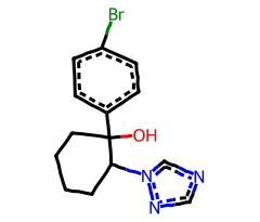 OC1(c2ccc(Br)cc2)CCCCC1n1cncn1